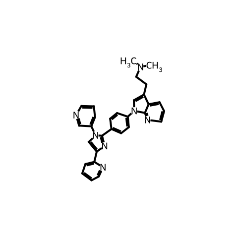 CN(C)CCc1cn(-c2ccc(-c3nc(-c4ccccn4)cn3-c3cccnc3)cc2)c2ncccc12